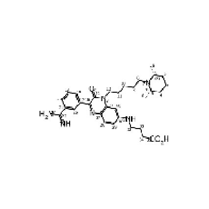 C[C@@H]1CCC[C@H](C)N1CCCCCn1c(=O)c(-c2cccc(C(=N)N)c2)nc2ccc(NCCCC(=O)O)cc21